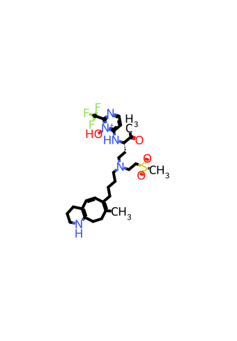 CC(=O)[C@H](CCN(CCCCC1=C(\C)CCC2=C(/C=C\1)CCCN2)CCS(C)(=O)=O)Nc1ccnc(C(F)(F)F)[n+]1O